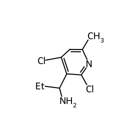 CCC(N)c1c(Cl)cc(C)nc1Cl